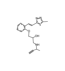 C#CC(C)NCC(O)COc1ccccc1C=Cc1nnc(C)s1